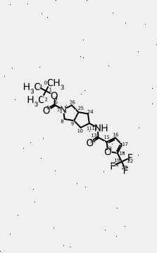 CC(C)(C)OC(=O)N1CC2CC(NC(=O)c3ccc(C(F)(F)F)o3)CC2C1